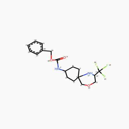 O=C(NC1CCC2(CC1)COCC(C(F)(F)F)N2)OCc1ccccc1